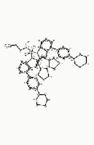 C[SiH](CCC(F)(F)F)[Zr]([Cl])([Cl])([CH]1C(CC2CCCC2)=Cc2c(-c3ccc(C4CCCCC4)cc3)cccc21)[CH]1C(CC2CCCC2)=Cc2c(-c3ccc(C4CCCCC4)cc3)cccc21